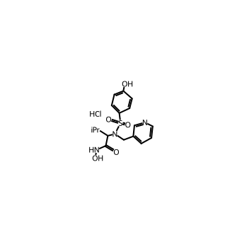 CC(C)C(C(=O)NO)N(Cc1cccnc1)S(=O)(=O)c1ccc(O)cc1.Cl